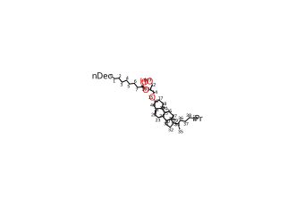 CCCCCCCCCCCCCCCCCC(=O)OC(CO)COC1CC[C@@]2(C)C(=CCC3C2CC[C@@]2(C)C3CC[C@@H]2[C@H](C)CCCC(C)C)C1